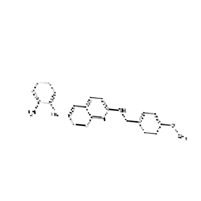 COc1ccc(CNc2ccc3cc(Nc4ccccc4N)ccc3n2)cc1